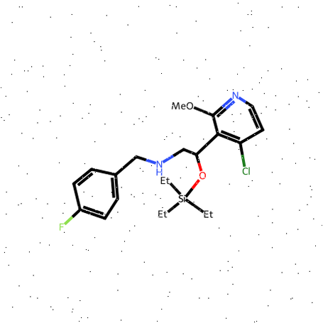 CC[Si](CC)(CC)OC(CNCc1ccc(F)cc1)c1c(Cl)ccnc1OC